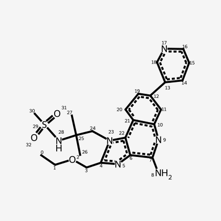 CCOCc1nc2c(N)nc3cc(-c4cccnc4)ccc3c2n1CC(C)(C)NS(C)(=O)=O